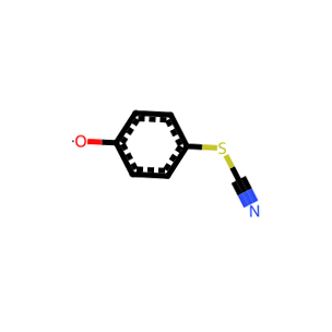 N#CSc1ccc([O])cc1